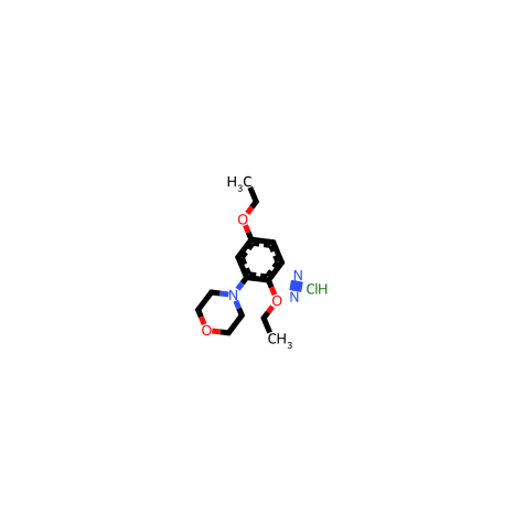 CCOc1ccc(OCC)c(N2CCOCC2)c1.Cl.N#N